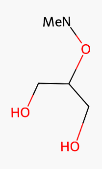 CNOC(CO)CO